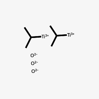 C[CH](C)[Ti+3].C[CH](C)[Ti+3].[O-2].[O-2].[O-2]